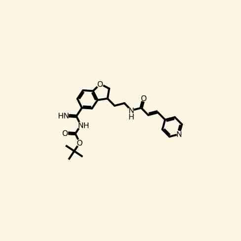 CC(C)(C)OC(=O)NC(=N)c1ccc2c(c1)C(CCNC(=O)C=Cc1ccncc1)CO2